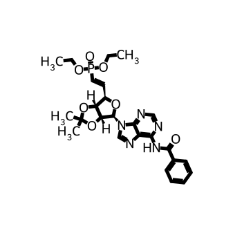 CCOP(=O)(/C=C/[C@H]1O[C@@H](n2cnc3c(NC(=O)c4ccccc4)ncnc32)[C@@H]2OC(C)(C)O[C@@H]21)OCC